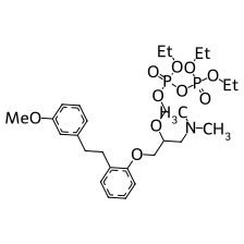 CCOP(=O)(OCC)OP(=O)(OCC)OCOC(COc1ccccc1CCc1cccc(OC)c1)CN(C)C